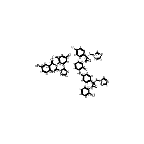 Fc1ccc([C@@]2(Cn3cncn3)O[C@@H]2c2ccccc2Cl)cc1.Fc1ccc([C@]2(Cn3cncn3)O[C@H]2c2ccccc2Cl)cc1.O=c1c2cc(F)ccc2nc(-n2cncn2)n1-c1ccc(Cl)cc1Cl